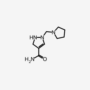 NC(=O)C1=CN(CN2CCCC2)NC1